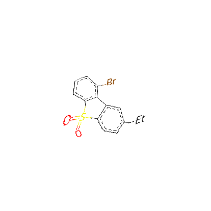 CCc1ccc2c(c1)-c1c(Br)cccc1S2(=O)=O